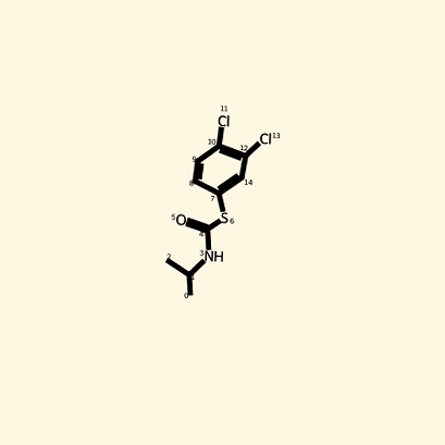 CC(C)NC(=O)Sc1ccc(Cl)c(Cl)c1